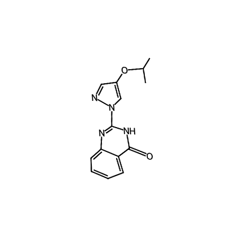 CC(C)Oc1cnn(-c2nc3ccccc3c(=O)[nH]2)c1